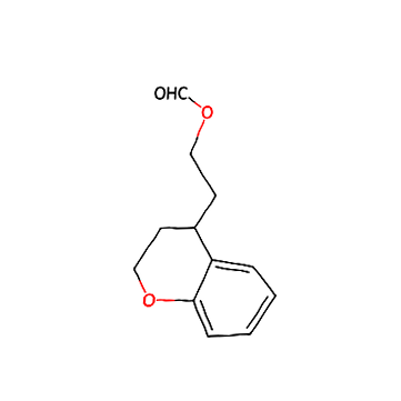 O=COCCC1CCOc2ccccc21